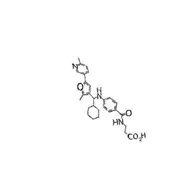 Cc1ccc(-c2cc(C(Nc3ccc(C(=O)NCCC(=O)O)cc3)C3CCCCC3)c(C)o2)cn1